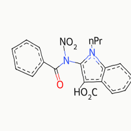 CCCn1c(N(C(=O)c2ccccc2)[N+](=O)[O-])c(C(=O)O)c2ccccc21